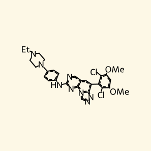 CCN1CCN(c2ccc(Nc3ncc4cc(-c5c(Cl)c(OC)cc(OC)c5Cl)c5nncn5c4n3)cc2)CC1